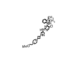 COCCN1CCN(C2CC(n3cc(Nc4ncc(Cl)c(Nc5ccccc5[SH](C)C)n4)cn3)C2)CC1